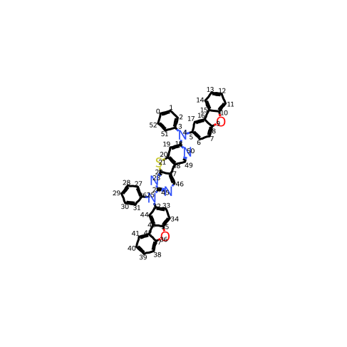 c1ccc(N(c2ccc3oc4ccccc4c3c2)c2cc3sc4nc(N(c5ccccc5)c5ccc6oc7ccccc7c6c5)ncc4c3cn2)cc1